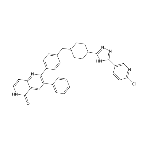 O=c1[nH]ccc2nc(-c3ccc(CN4CCC(c5nnc(-c6ccc(Cl)nc6)[nH]5)CC4)cc3)c(-c3ccccc3)cc12